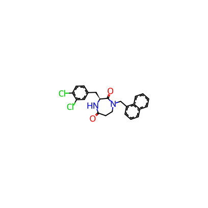 O=C1CCN(Cc2cccc3ccccc23)C(=O)[C@H](Cc2ccc(Cl)c(Cl)c2)N1